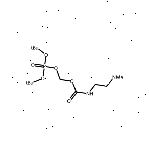 CNCCNC(=O)OCOP(=O)(OC(C)(C)C)OC(C)(C)C